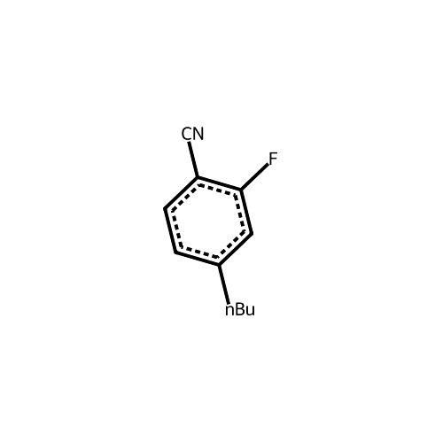 [CH2]CCCc1ccc(C#N)c(F)c1